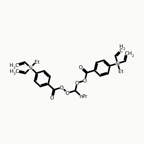 [CH2]CC[C](OOC(=O)c1ccc([Si](C=C)(C=C)CC)cc1)OOC(=O)c1ccc([Si](C=C)(C=C)CC)cc1